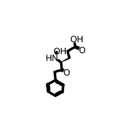 O=C(O)CC[C@H](NO)C(=O)Cc1ccccc1